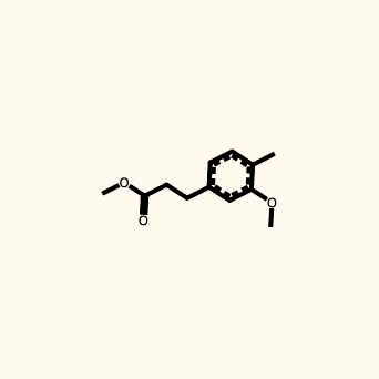 COC(=O)CCc1ccc(C)c(OC)c1